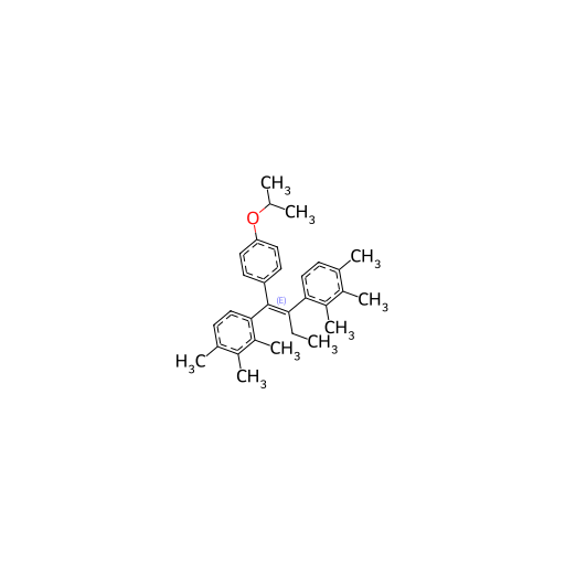 CC/C(=C(/c1ccc(OC(C)C)cc1)c1ccc(C)c(C)c1C)c1ccc(C)c(C)c1C